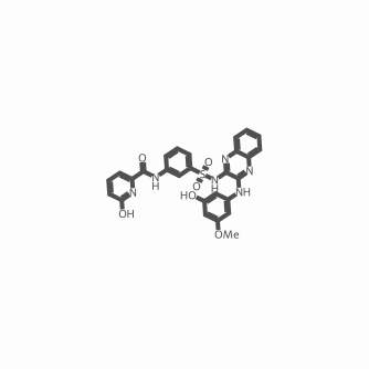 COc1cc(O)cc(Nc2nc3ccccc3nc2NS(=O)(=O)c2cccc(NC(=O)c3cccc(O)n3)c2)c1